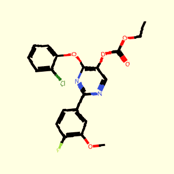 CCOC(=O)Oc1cnc(-c2ccc(F)c(OC)c2)nc1Oc1ccccc1Cl